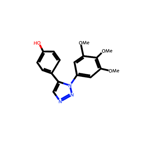 COc1cc(-n2nncc2-c2ccc(O)cc2)cc(OC)c1OC